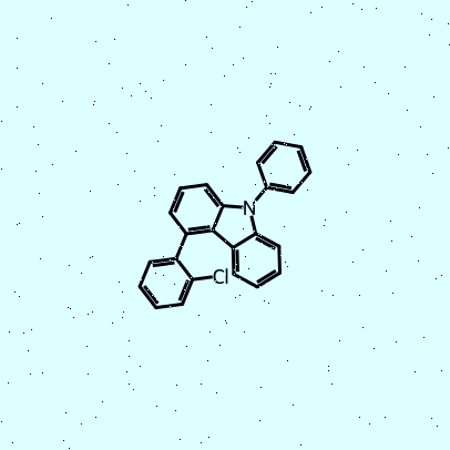 Clc1ccccc1-c1cccc2c1c1ccccc1n2-c1ccccc1